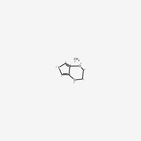 C.c1scc2c1OCCO2